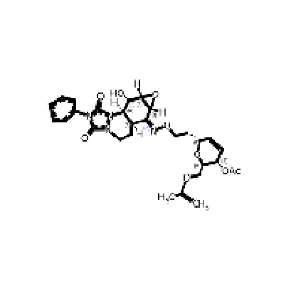 C=C(C)OC[C@H]1O[C@H](CCO/N=C2/[C@H]3CCn4c(=O)n(-c5ccccc5)c(=O)n4[C@H]3[C@H](O)[C@@H]3O[C@H]23)C=C[C@@H]1OC(C)=O